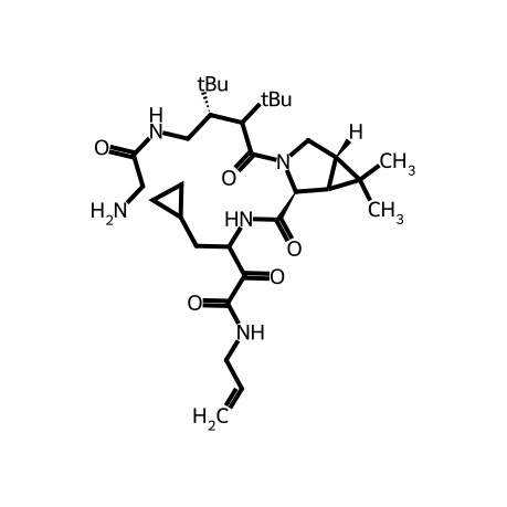 C=CCNC(=O)C(=O)C(CC1CC1)NC(=O)[C@@H]1C2[C@H](CN1C(=O)C([C@H](CNC(=O)CN)C(C)(C)C)C(C)(C)C)C2(C)C